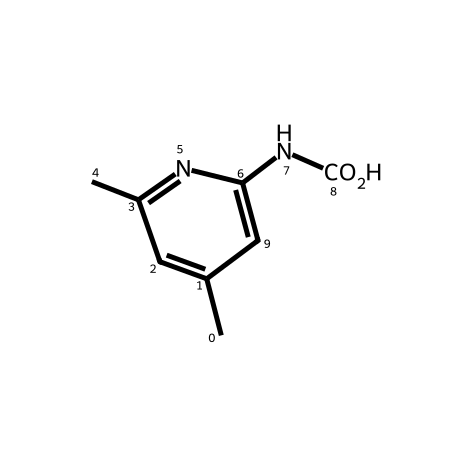 Cc1cc(C)nc(NC(=O)O)c1